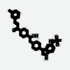 Cc1cccc(C=CC(=O)N2CCC(C(O)CN3CCC(c4c[nH]c5ccc(NS(C)(=O)=O)cc45)CC3)CC2)c1